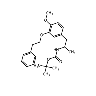 COc1ccc(CC(C)NC(=O)OC(C)(C)C)cc1OCCc1ccccc1